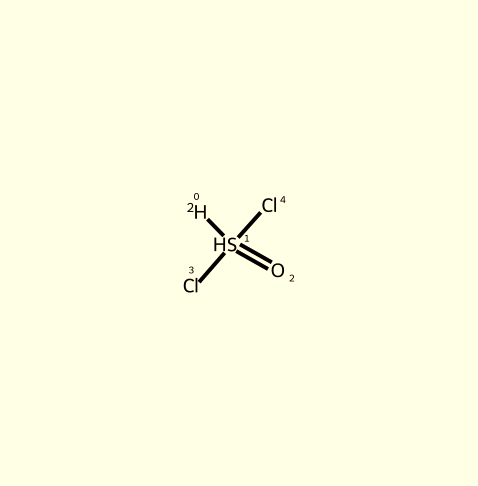 [2H][SH](=O)(Cl)Cl